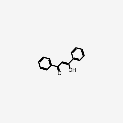 O=C(C=C(O)c1ccccc1)c1ccccc1